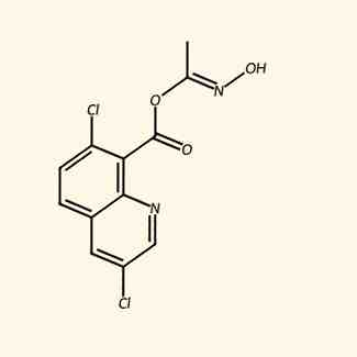 CC(=NO)OC(=O)c1c(Cl)ccc2cc(Cl)cnc12